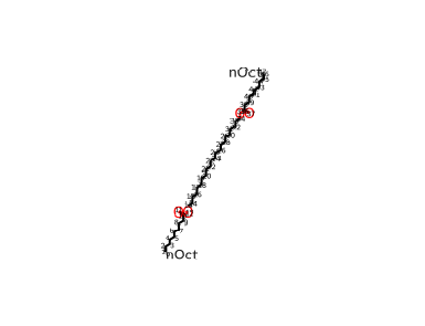 CCCCCCCC/C=C\CCCCCCCC(=O)OCCCCCCCCCCCCCCCCCCCCCCOC(=O)CCCCCCC/C=C\CCCCCCCC